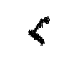 COS(=O)(=O)CC[N+](C)(C)CCCNCCCCNc1cc(S(=O)(=O)c2ccc(OC(C)(C)C)cc2)ccc1C(C)(C)C